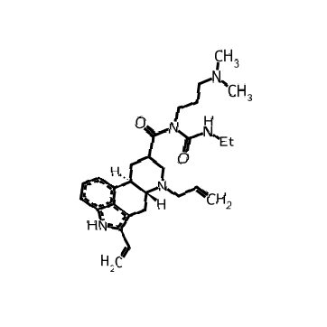 C=CCN1CC(C(=O)N(CCCN(C)C)C(=O)NCC)C[C@@H]2c3cccc4[nH]c(C=C)c(c34)C[C@H]21